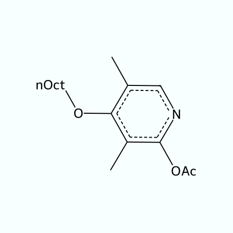 CCCCCCCCOc1c(C)cnc(OC(C)=O)c1C